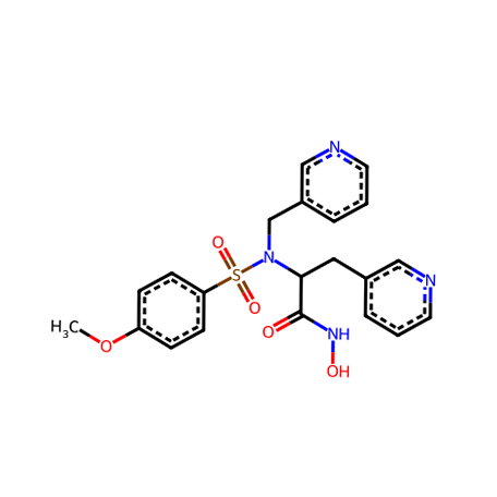 COc1ccc(S(=O)(=O)N(Cc2cccnc2)C(Cc2cccnc2)C(=O)NO)cc1